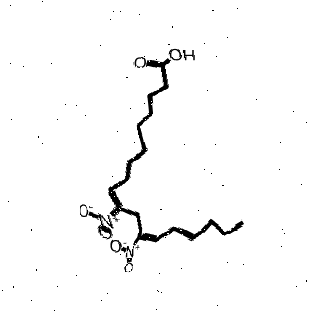 CCCCC/C=C(\C/C(=C\CCCCCCCC(=O)O)[N+](=O)[O-])[N+](=O)[O-]